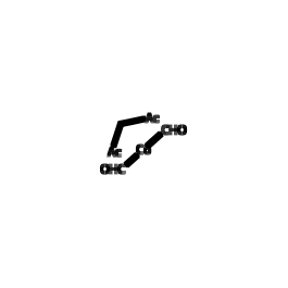 CC(=O)CC(C)=O.O=[CH][Co][CH]=O